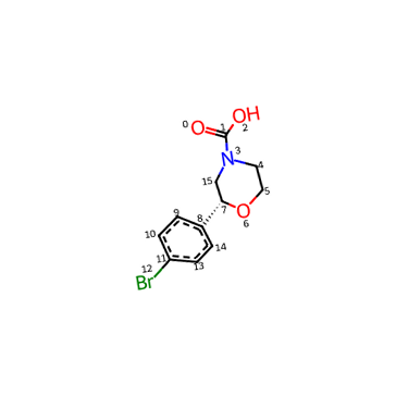 O=C(O)N1CCO[C@H](c2ccc(Br)cc2)C1